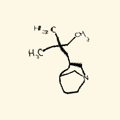 CC(C)(C)C1CN2CCC1C2